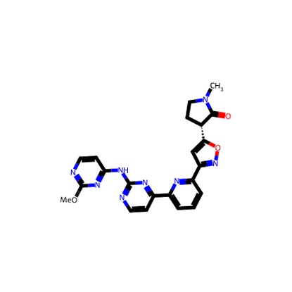 COc1nccc(Nc2nccc(-c3cccc(-c4cc([C@@H]5CCN(C)C5=O)on4)n3)n2)n1